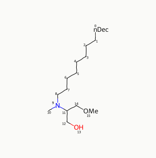 CCCCCCCCCCCCCCCCCCN(C)C(CO)COC